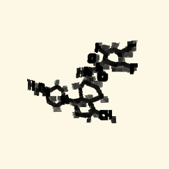 Cc1ccc(N2CCN(C)CC2)c2c1CC[C@@H](NS(=O)(=O)c1cc(F)c(F)cc1F)C2